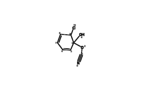 N#COC1(O)C=CC=CC1Cl